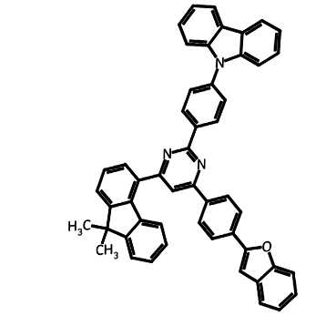 CC1(C)c2ccccc2-c2c(-c3cc(-c4ccc(-c5cc6ccccc6o5)cc4)nc(-c4ccc(-n5c6ccccc6c6ccccc65)cc4)n3)cccc21